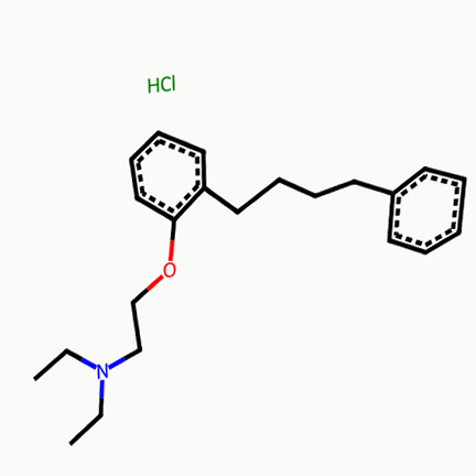 CCN(CC)CCOc1ccccc1CCCCc1ccccc1.Cl